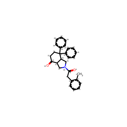 Cc1ccccc1CC(=O)N1CC2C(=O)CCC(c3ccccc3)(c3ccccc3)C2C1